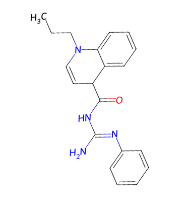 CCCN1C=CC(C(=O)NC(N)=Nc2ccccc2)c2ccccc21